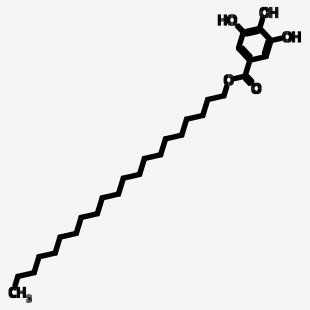 CCCCCCCCCCCCCCCCCCCCCOC(=O)c1cc(O)c(O)c(O)c1